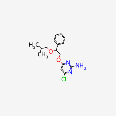 CC(C)COC(COc1cc(Cl)nc(N)n1)c1ccccc1